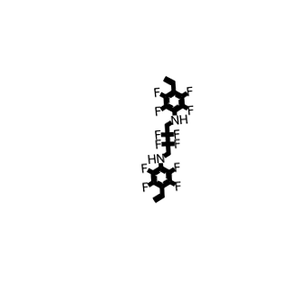 C=Cc1c(F)c(F)c(NCC(F)(F)C(F)(F)CNc2c(F)c(F)c(C=C)c(F)c2F)c(F)c1F